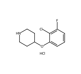 Cl.Fc1cccc(OC2CCNCC2)c1Cl